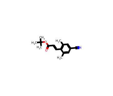 Cc1cc(C#N)cc(C)c1C=CC(=O)OC(C)(C)C